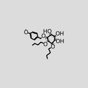 CCCCO[C@@H]1[C@H](OCc2ccc(OC)cc2)[C@H](O)[C@@H](O)[C@H](O)[C@H]1OCCCC